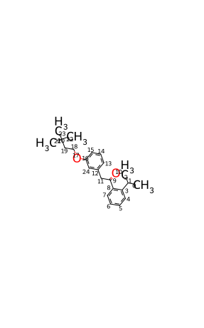 CC(C)c1ccccc1C(=O)Cc1cccc(OCCC(C)(C)C)c1